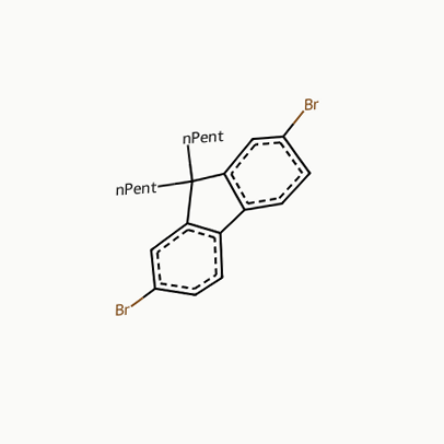 CCCCCC1(CCCCC)c2cc(Br)ccc2-c2ccc(Br)cc21